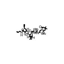 C#CCCC(NC(=O)[C@@H]1[C@@H]2[C@H](CN1C(=O)[C@@H](NC(=O)N[C@H](CN1C(=O)CC(C)(C)CC1=O)C(C)(C)C)C(C)(C)C)C2(C)C)C(=O)C(=O)NCC=C